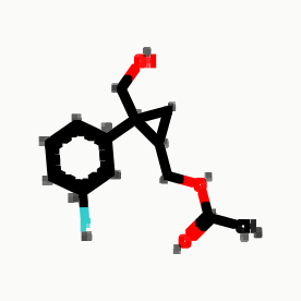 CC(=O)OCC1CC1(CO)c1cccc(F)c1